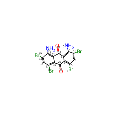 Nc1c(Br)cc(Br)c2c1C(=O)c1c(N)c(Br)cc(Br)c1C2=O